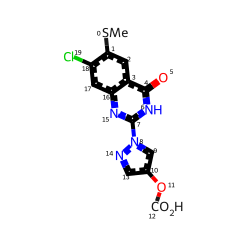 CSc1cc2c(=O)[nH]c(-n3cc(OC(=O)O)cn3)nc2cc1Cl